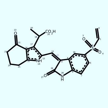 C=CS(=O)(=O)c1ccc2c(c1)/C(=C/c1[nH]c3c(c1C(C)C(=O)O)C(=O)CCC3)C(=O)N2